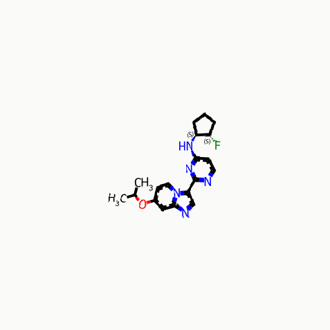 CC(C)Oc1ccn2c(-c3nccc(N[C@H]4CCC[C@@H]4F)n3)cnc2c1